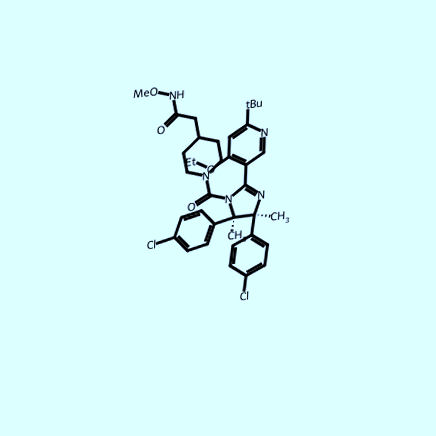 CCOc1cc(C(C)(C)C)ncc1C1=N[C@@](C)(c2ccc(Cl)cc2)[C@@](C)(c2ccc(Cl)cc2)N1C(=O)N1CCC(CC(=O)NOC)CC1